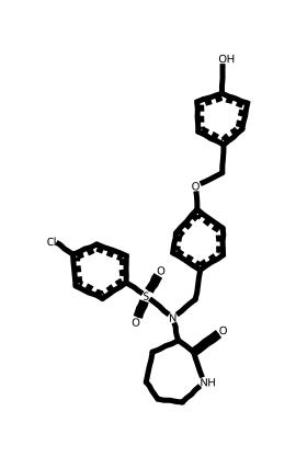 O=C1NCCCCC1N(Cc1ccc(OCc2ccc(O)cc2)cc1)S(=O)(=O)c1ccc(Cl)cc1